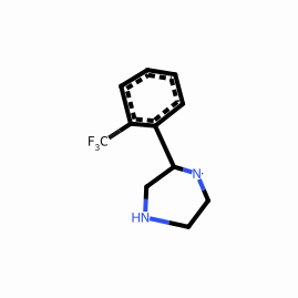 FC(F)(F)c1ccccc1C1CNCC[N]1